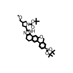 COCC1CC(c2nc3c([nH]2)-c2cc4c(cc2CC3)-c2ccc(B3OC(C)(C)C(C)(C)O3)cc2CO4)N(C(=O)OC(C)(C)C)C1